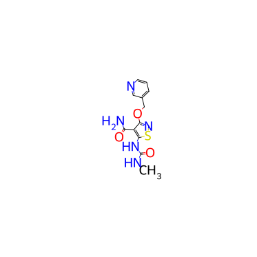 CNC(=O)Nc1snc(OCc2cccnc2)c1C(N)=O